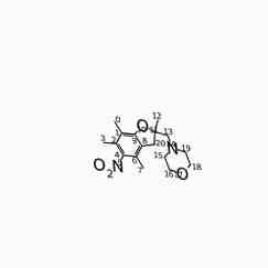 Cc1c(C)c([N+](=O)[O-])c(C)c2c1OC(C)(CN1CCOCC1)C2